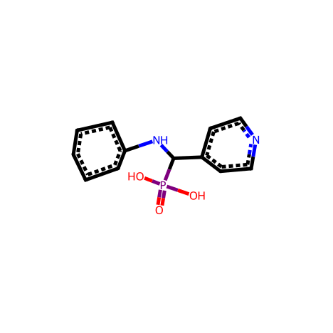 O=P(O)(O)C(Nc1ccccc1)c1ccncc1